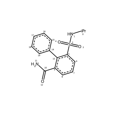 CC(C)NS(=O)(=O)c1cccc(C(N)=O)c1-c1ccccc1